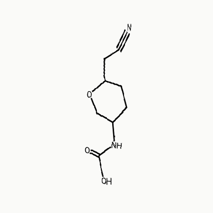 N#CCC1CCC(NC(=O)O)CO1